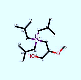 COC(CO)C[PH](CC(C)C)(CC(C)C)CC(C)C